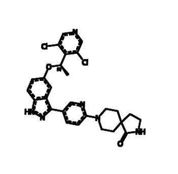 C[C@@H](Oc1ccc2[nH]nc(-c3ccc(N4CCC5(CCNC5=O)CC4)nc3)c2c1)c1c(Cl)cncc1Cl